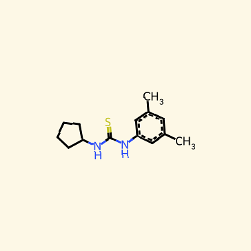 Cc1cc(C)cc(NC(=S)NC2CCCC2)c1